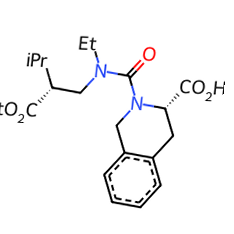 CCOC(=O)[C@@H](CN(CC)C(=O)N1Cc2ccccc2C[C@H]1C(=O)O)C(C)C